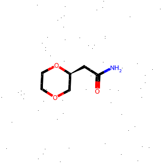 NC(=O)C[C@H]1COCCO1